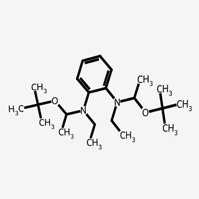 CCN(c1ccccc1N(CC)C(C)OC(C)(C)C)C(C)OC(C)(C)C